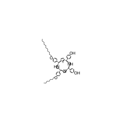 CCCCCCCCCCCOc1ccc(/C2=C3\C=CC(=I3)/C(c3ccc(O)cc3)=c3/cc/c([nH]3)=C(\c3ccc(O)cc3)C3=N/C(=C(/c4ccc(OCCCCCCC)cc4)c4ccc2[nH]4)C=C3)cc1